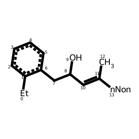 [CH2]Cc1ccccc1CC(O)C=C(C)CCCCCCCCC